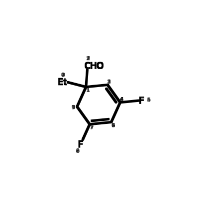 CCC1(C=O)C=C(F)C=C(F)C1